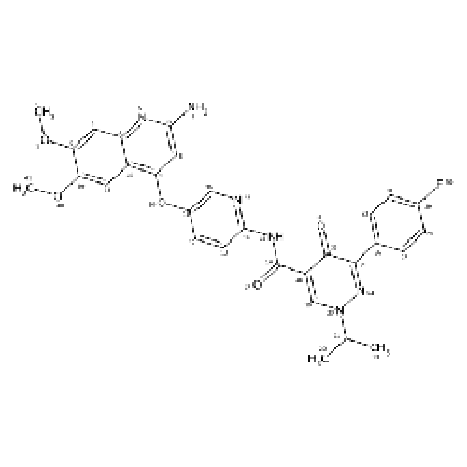 COc1cc2nc(N)cc(Oc3ccc(NC(=O)c4cn(C(C)C)nc(-c5ccc(F)cc5)c4=O)nc3)c2cc1OC